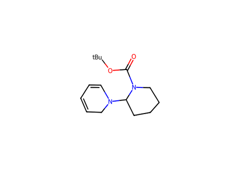 CC(C)(C)OC(=O)N1CCCCC1N1C=CC=CC1